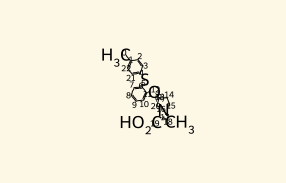 Cc1ccc(Sc2ccccc2O[C@@H]2CCN(C(C)C(=O)O)C2)cc1